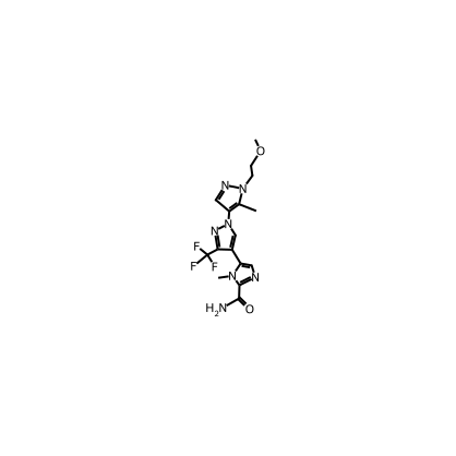 COCCn1ncc(-n2cc(-c3cnc(C(N)=O)n3C)c(C(F)(F)F)n2)c1C